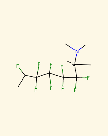 CC(F)C(F)(F)C(F)(F)C(F)(F)C(F)(F)[Si](C)(C)N(C)C